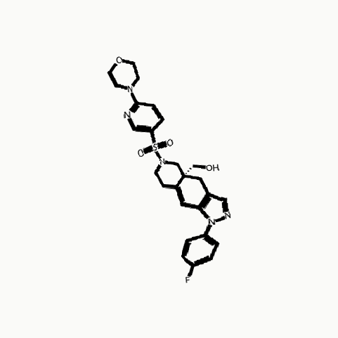 O=S(=O)(c1ccc(N2CCOCC2)nc1)N1CCC2=Cc3c(cnn3-c3ccc(F)cc3)C[C@]2(CO)C1